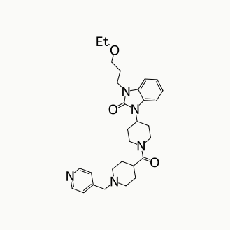 CCOCCCn1c(=O)n(C2CCN(C(=O)C3CCN(Cc4ccncc4)CC3)CC2)c2ccccc21